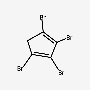 BrC1=C(Br)C(Br)=C(Br)C1